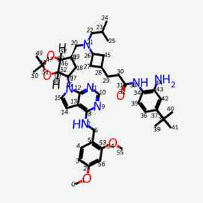 COc1ccc(CNc2ncnc3c2ccn3[C@@H]2C[C@H](CN(CC(C)C)C3CC(CCC(=O)Nc4ccc(C(C)(C)C)cc4N)C3)[C@H]3OC(C)(C)O[C@H]32)c(OC)c1